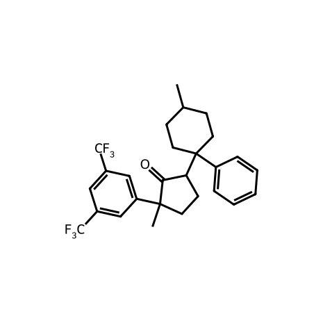 CC1CCC(c2ccccc2)(C2CCC(C)(c3cc(C(F)(F)F)cc(C(F)(F)F)c3)C2=O)CC1